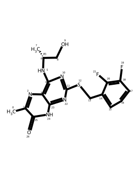 Cc1nc2c(N[C@H](C)CO)nc(SCc3cccc(F)c3F)nc2[nH]c1=O